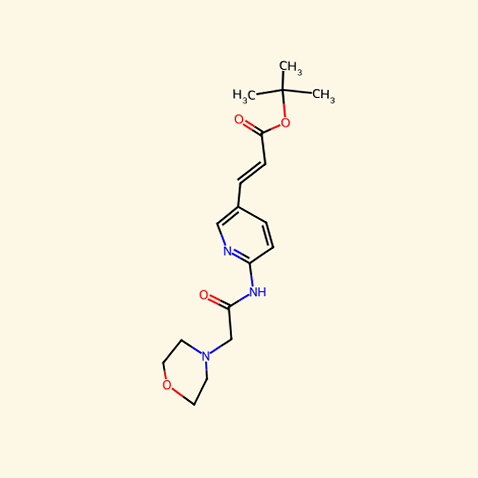 CC(C)(C)OC(=O)C=Cc1ccc(NC(=O)CN2CCOCC2)nc1